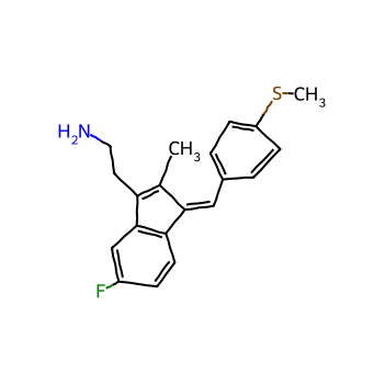 CSc1ccc(C=C2C(C)=C(CCN)c3cc(F)ccc32)cc1